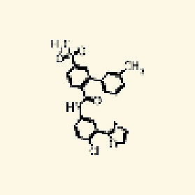 Cc1cccc(-c2cc(S(C)(=O)=O)ccc2C(=O)Nc2ccc(Cl)c(-c3ncco3)c2)c1